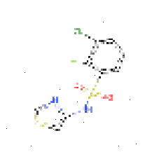 O=S(=O)(Nc1cscn1)c1cccc(Cl)c1F